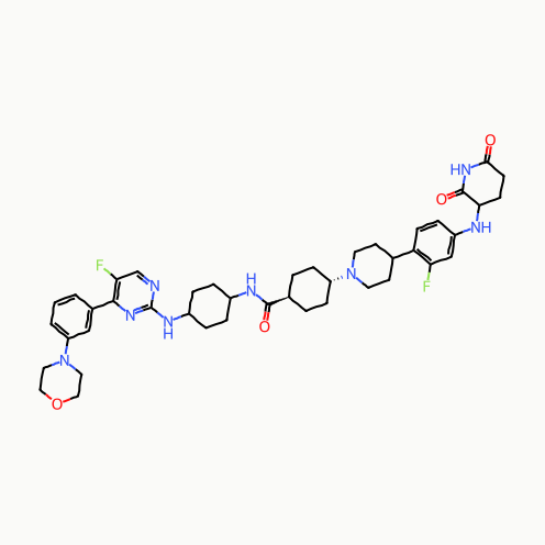 O=C1CCC(Nc2ccc(C3CCN([C@H]4CC[C@H](C(=O)NC5CCC(Nc6ncc(F)c(-c7cccc(N8CCOCC8)c7)n6)CC5)CC4)CC3)c(F)c2)C(=O)N1